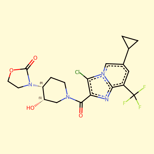 O=C(c1nc2c(C(F)(F)F)cc(C3CC3)cn2c1Cl)N1CC[C@@H](N2CCOC2=O)[C@@H](O)C1